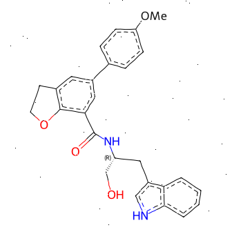 COc1ccc(-c2cc3c(c(C(=O)N[C@@H](CO)Cc4c[nH]c5ccccc45)c2)OCC3)cc1